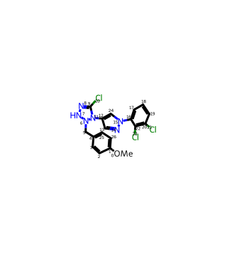 COc1ccc(CN2NN=C(Cl)N2c2cnn(-c3cccc(Cl)c3Cl)c2)cc1